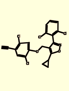 C#Cc1cc(Cl)c(OCc2c(-c3c(Cl)cccc3Cl)noc2C2CC2)cc1Cl